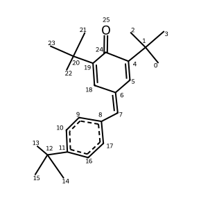 CC(C)(C)C1=CC(=Cc2ccc(C(C)(C)C)cc2)C=C(C(C)(C)C)C1=O